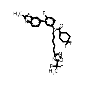 Cc1nc2ccc(-c3cc(N(CCCCCc4noc(C(C)(F)F)n4)C(=O)C4CCC(F)(F)CC4)ccc3F)cc2s1